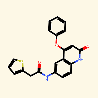 O=C(Cc1cccs1)Nc1ccc2[nH]c(=O)cc(Oc3ccccc3)c2c1